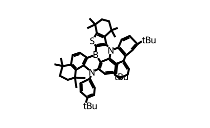 CC(C)(C)c1ccc(N2c3cc(C(C)(C)C)cc4c3B(c3ccc5c(c32)C(C)(C)CCC5(C)C)c2sc3c(c2N4c2ccc(C(C)(C)C)cc2C2=CCCC=C2)C(C)(C)CCC3(C)C)cc1